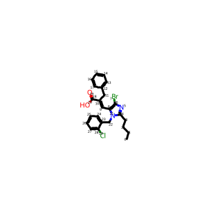 CCCCc1nc(Br)c(C=C(Cc2ccccc2)C(=O)O)n1Cc1ccccc1Cl